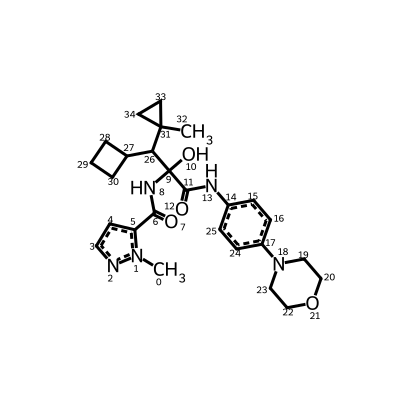 Cn1nccc1C(=O)NC(O)(C(=O)Nc1ccc(N2CCOCC2)cc1)C(C1CCC1)C1(C)CC1